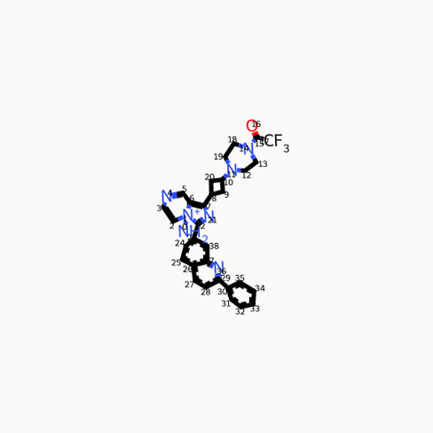 N[N+]12C=CN=CC1=C(C1CC(N3CCN(C(=O)C(F)(F)F)CC3)C1)N=C2c1ccc2ccc(-c3ccccc3)nc2c1